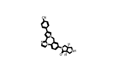 N#Cc1ccc(-c2cc3n(c2)Cc2cc(N4C[C@H]5CNC[C@H]5C4=O)ccc2-n2ccnc2-3)cc1